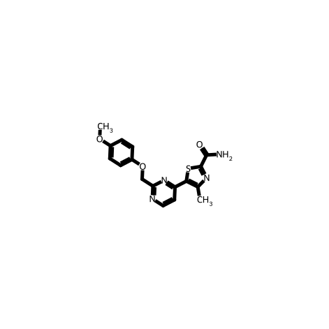 COc1ccc(OCc2nccc(-c3sc(C(N)=O)nc3C)n2)cc1